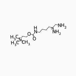 C[Si](C)(C)CCOC(=O)NCCCC[C@H](N)CN